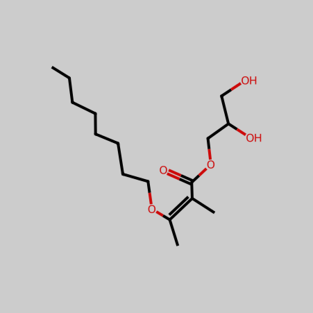 CCCCCCCCOC(C)=C(C)C(=O)OCC(O)CO